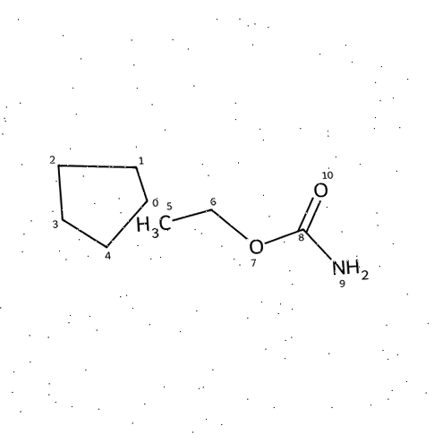 C1CCCC1.CCOC(N)=O